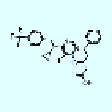 O=C(O)C[C@@H](CCc1ccccc1)Nc1ncnc(N(Cc2ccc(C(F)(F)F)cc2)C2CC2)c1F